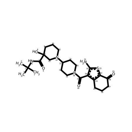 CC(C)(C)NC(=O)C1(O)CCCN(C2CCN(C(=O)c3c(N)sc4c3CCCC4=O)CC2)C1